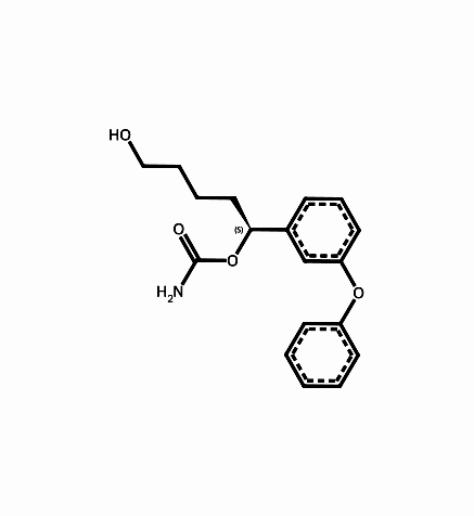 NC(=O)O[C@@H](CCCCO)c1cccc(Oc2ccccc2)c1